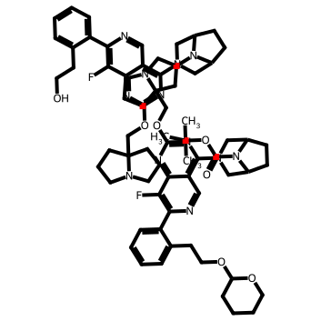 CC(C)(C)OC(=O)N1C2CCC1CN(c1nc(OCC34CCCN3CC(N3C5CCC3CN(c3nc(OCC67CCCN6CCC7)nc6c(F)c(-c7ccccc7CCO)ncc36)C5)C4)nc3c(F)c(-c4ccccc4CCOC4CCCCO4)ncc13)C2